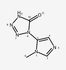 Cn1cncc1-n1nn[nH]c1=O